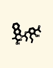 CCCc1c(OC(CC)Oc2cc3ccccc3cc2C(C)C(=O)O)ccc(C(C)=O)c1O